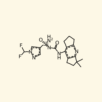 CC1(C)CCc2c1nc1c(c2NC(=O)N=[S@@](N)(=O)c2cnn(C(F)F)c2)CCC1